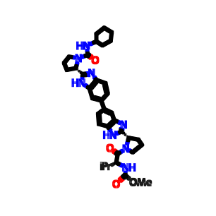 COC(=O)N[C@H](C(=O)N1CCC[C@H]1c1nc2cc(-c3ccc4nc([C@@H]5CCCN5C(=O)NC5CCCCC5)[nH]c4c3)ccc2[nH]1)C(C)C